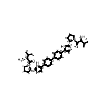 CC(C)C(N)C(=O)N1CCC[C@H]1c1ncc(-c2ccc(-c3ccc(-c4cnc([C@@H]5CCCN5C(=O)[C@H](N)C(C)C)[nH]4)cc3)cc2)[nH]1